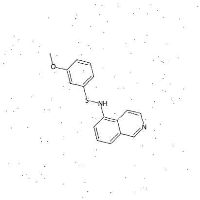 COc1cccc(SNc2cccc3cnccc23)c1